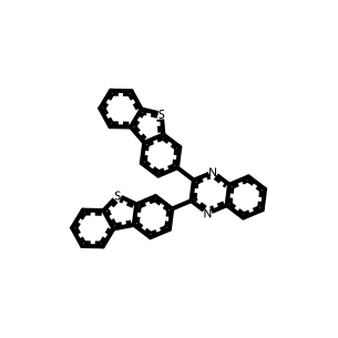 c1ccc2nc(-c3ccc4c(c3)sc3ccccc34)c(-c3ccc4c(c3)sc3ccccc34)nc2c1